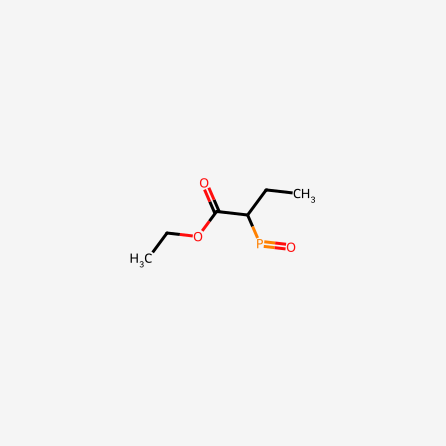 CCOC(=O)C(CC)P=O